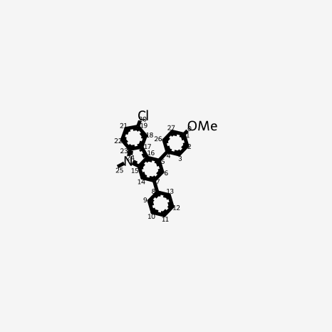 COc1ccc(-c2cc(-c3ccccc3)cc3c2c2cc(Cl)ccc2n3C)cc1